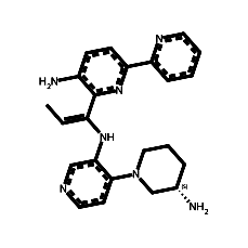 CC=C(Nc1cnccc1N1CCC[C@H](N)C1)c1nc(-c2ccccn2)ccc1N